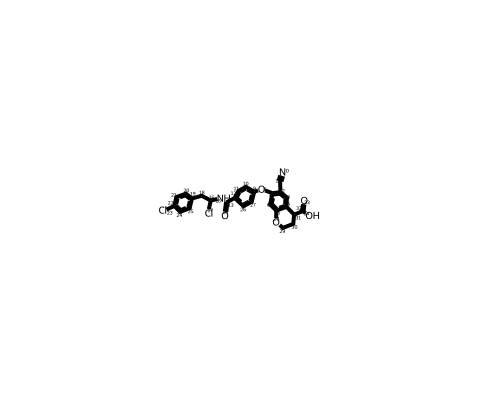 N#Cc1cc2c(cc1Oc1ccc(C(=O)NC(Cl)Cc3ccc(Cl)cc3)cc1)OCCC2C(=O)O